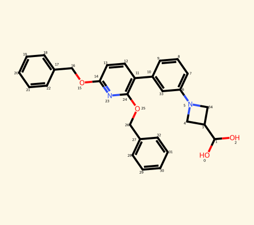 OC(O)C1CN(c2cccc(-c3ccc(OCc4ccccc4)nc3OCc3ccccc3)c2)C1